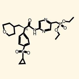 CCOP(=O)(Cc1cnc(NC(=O)[C@H](CC2CCOCC2)c2ccc(S(=O)(=O)C3CC3)cc2)cn1)OCC